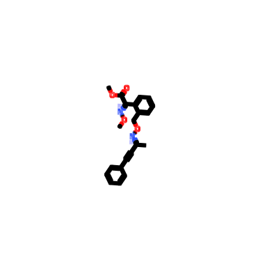 CO/N=C(/C(=O)OC)c1ccccc1CO/N=C(\C)C#Cc1ccccc1